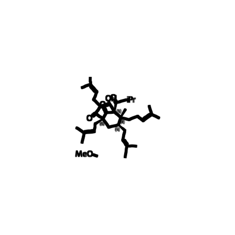 CC(C)=CCC[C@]1(C)[C@@H](CC=C(C)C)C[C@]2(CC=C(C)C)C(=O)C(CC=C(C)C)=C(O)[C@@]1(C(=O)C(C)C)C2=O.COC